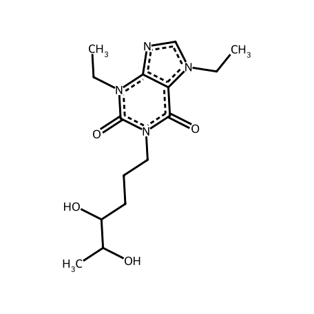 CCn1cnc2c1c(=O)n(CCCC(O)C(C)O)c(=O)n2CC